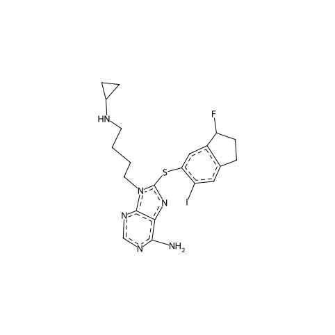 Nc1ncnc2c1nc(Sc1cc3c(cc1I)CCC3F)n2CCCCNC1CC1